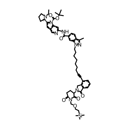 CCN1CCC[C@@H]1c1cc2cnc(NC(=O)c3ccc4c(C)nn(CCCCCCCC#Cc5cccc6c5CN(C5CCC(=O)N(COCC[Si](C)(C)C)C5=O)C6=O)c4c3)cc2n1C(=O)OC(C)(C)C